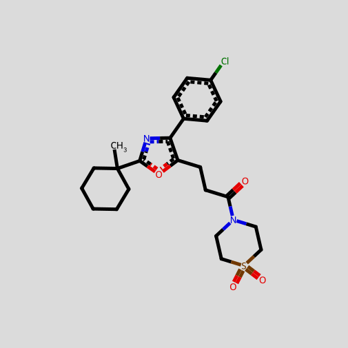 CC1(c2nc(-c3ccc(Cl)cc3)c(CCC(=O)N3CCS(=O)(=O)CC3)o2)CCCCC1